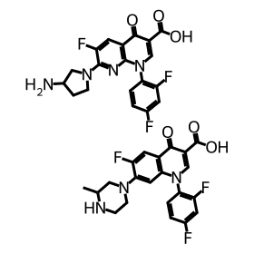 CC1CN(c2cc3c(cc2F)c(=O)c(C(=O)O)cn3-c2ccc(F)cc2F)CCN1.NC1CCN(c2nc3c(cc2F)c(=O)c(C(=O)O)cn3-c2ccc(F)cc2F)C1